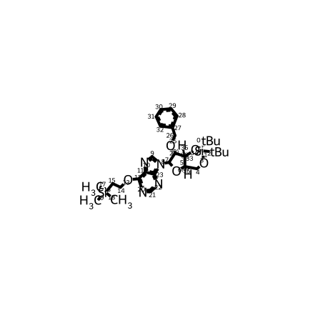 CC(C)(C)[Si]1(C(C)(C)C)OC[C@H]2OC(n3cnc4c(OCC[Si](C)(C)C)ncnc43)[C@H](OCc3ccccc3)[C@@H]2O1